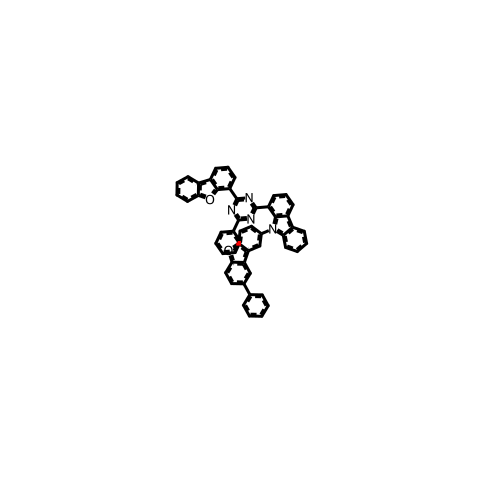 c1ccc(-c2ccc3oc4ccc(-n5c6ccccc6c6cccc(-c7nc(-c8ccccc8)nc(-c8cccc9c8oc8ccccc89)n7)c65)cc4c3c2)cc1